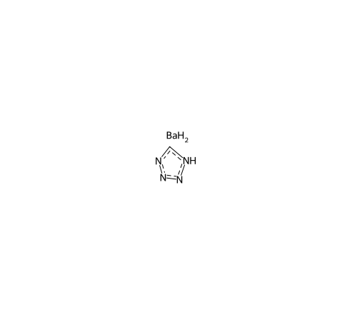 [BaH2].c1nnn[nH]1